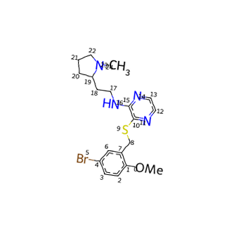 COc1ccc(Br)cc1CSc1nccnc1NCCC1CCCN1C